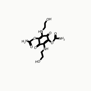 NC(=O)OC1=C(NCCO)C(=O)C(OC(N)=O)=C(NCCO)C1=O